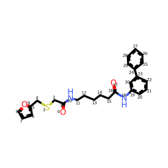 O=C(CSCc1ccco1)NCCCCCC(=O)Nc1cccc(-c2ccccc2)c1